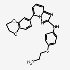 NCCSc1ccc(Nc2nc3cccc(-c4ccc5c(c4)OCCO5)n3n2)cc1